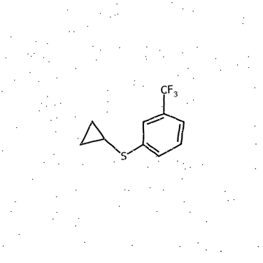 FC(F)(F)c1cccc(SC2CC2)c1